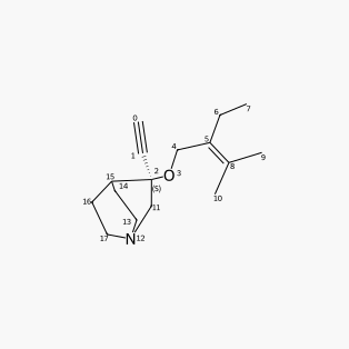 C#C[C@]1(OCC(CC)=C(C)C)CN2CCC1CC2